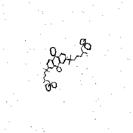 COC(=O)CC(C)CCCC(C)(C)c1ccc2c(c1)C(=O)c1cc(C(C)(C)CCCC(C)CC(=O)OC)ccc1C2=O